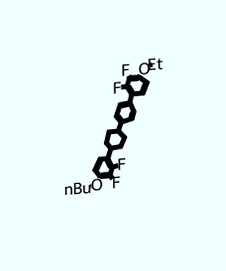 CCCCOc1ccc(C2CCC(c3ccc(-c4ccc(OCC)c(F)c4F)cc3)CC2)c(F)c1F